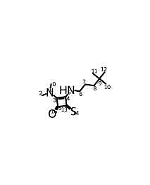 CN(C)c1c(NCCCC(C)(C)C)c(=S)c1=O